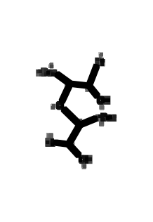 CCCCCCCCCCC(OC(CCCCCCCCCC)C(O)CC)C(O)CC